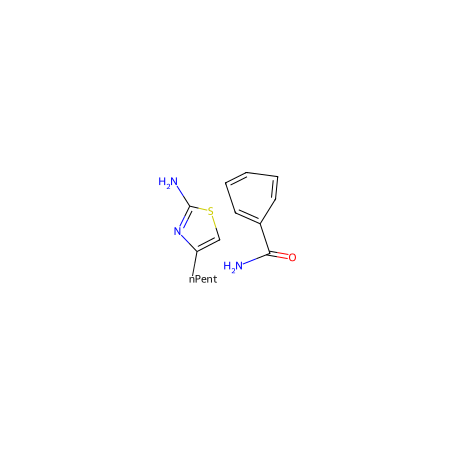 CCCCCc1csc(N)n1.NC(=O)c1ccccc1